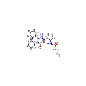 CCCCC(=O)NC1CCCC1C(=O)NCc1ccccc1-c1ccccc1NC=O